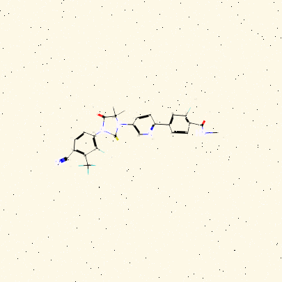 CNC(=O)c1ccc(-c2ccc(N3C(=S)N(c4ccc(C#N)c(C(F)(F)F)c4F)C(=O)C3(C)C)cn2)cc1F